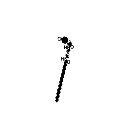 CCC=CCC=CCC=CCC=CCC=CCC=CCCC(=O)NCCSCCNC(=O)C(C)(C)Oc1ccc(Cl)cc1